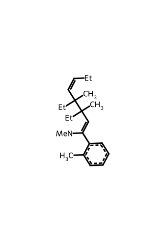 CC/C=C\C(C)(CC)C(C)(/C=C(\NC)c1ccccc1C)CC